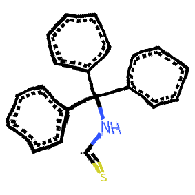 S=[C]NC(c1ccccc1)(c1ccccc1)c1ccccc1